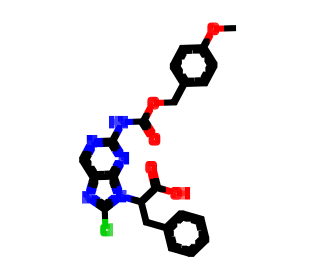 COc1ccc(COC(=O)Nc2ncc3nc(Cl)n(C(Cc4ccccc4)C(=O)O)c3n2)cc1